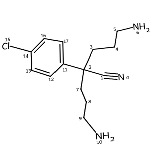 N#CC(CCCN)(CCCN)c1ccc(Cl)cc1